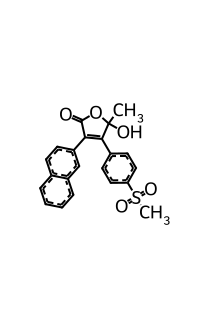 CC1(O)OC(=O)C(c2ccc3ccccc3c2)=C1c1ccc(S(C)(=O)=O)cc1